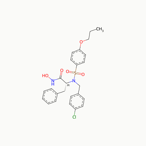 CCCOc1ccc(S(=O)(=O)N(Cc2ccc(Cl)cc2)[C@H](Cc2ccccc2)C(=O)NO)cc1